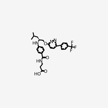 CC(C)C[C@@H](COc1ccc(-c2ccc(C(F)(F)F)cc2)nn1)Nc1ccc(C(=O)NCCC(=O)O)cc1